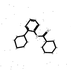 O=C(Oc1ccccc1C1CCCCC1)C1CCCCC1